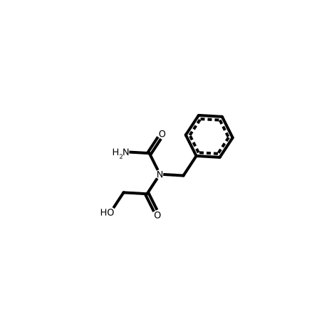 NC(=O)N(Cc1ccccc1)C(=O)CO